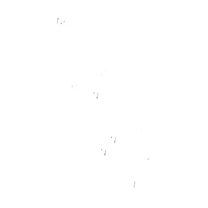 N#Cc1ccc(S(=O)(=O)N2CCC(n3ncc(Cl)c(Cl)c3=O)CC2)cc1